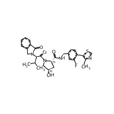 Cc1ncsc1-c1ccc(CNC(=O)[C@@H]2C[C@@H](O)CN2C(=O)C(C(C)C)N2Cc3ccccc3C2=O)cc1F